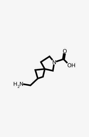 NCC1CC2(CCN(C(=O)O)C2)C1